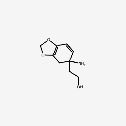 NC1(CCO)C=CC2=C(C1)OCO2